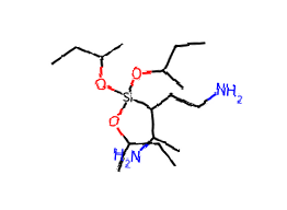 CCC(C)O[Si](OC(C)CC)(OC(C)CC)C(CCN)C(C)N